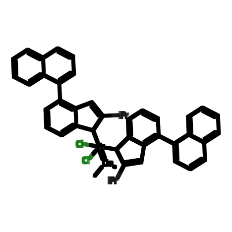 CC(C)C1=Cc2c(-c3cccc4ccccc34)cccc2[CH]1[Zr]([Cl])([Cl])([CH]1C(C(C)C)=Cc2c(-c3cccc4ccccc34)cccc21)=[Ge]([CH3])[CH3]